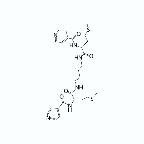 CSCC[C@H](NC(=O)c1ccncc1)C(=O)NCCCCNC(=O)[C@H](CCSC)NC(=O)c1ccncc1